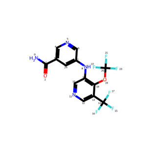 NC(=O)c1cncc(Nc2cncc(C(F)(F)F)c2OC(F)(F)F)c1